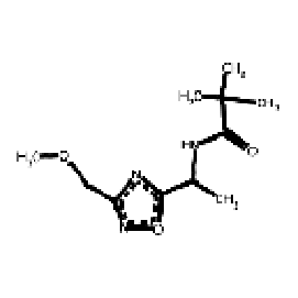 COCc1noc(C(C)NC(=O)C(C)(C)C)n1